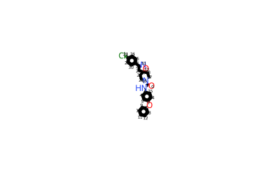 O=C(Nc1ccc(Oc2ccccc2)cc1)N1CCC2(CC1)CC(c1ccc(Cl)cc1)=NO2